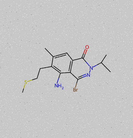 CSCCc1c(C)cc2c(=O)n(C(C)C)nc(Br)c2c1N